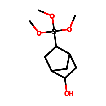 CO[Si](OC)(OC)C1CC2CC1CC2O